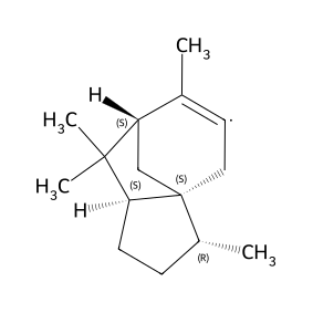 CC1=[C]C[C@@]23C[C@@H]1C(C)(C)[C@@H]2CC[C@H]3C